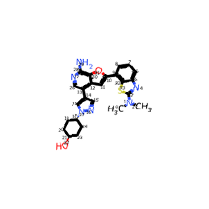 CN(C)c1nc2cccc(-c3cc4c(-c5cnn([C@H]6CC[C@H](O)CC6)c5)cnc(N)c4o3)c2s1